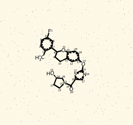 Cc1ccc(F)cc1C1CCc2cc(Oc3ncc(C(=O)N4CC[C@@H](O)C4)s3)ccc2O1